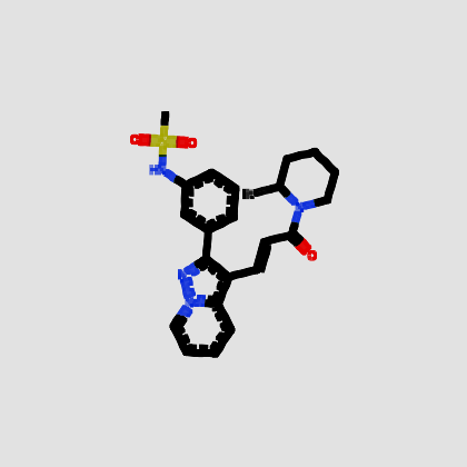 CCC1CCCCN1C(=O)C=Cc1c(-c2cccc(NS(C)(=O)=O)c2)nn2ccccc12